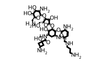 NCCCNC[C@@H]1C=C[C@@H](N)[C@@H](O[C@H]2[C@H](O[C@@H]3O[C@H](CO)[C@@H](O[C@H]4O[C@@H](CN)[C@@H](O)[C@H](O)[C@H]4N)[C@H]3O)[C@@H](O)[C@H](NC(=O)C3(O)CC(N)C3)C[C@@H]2N)O1